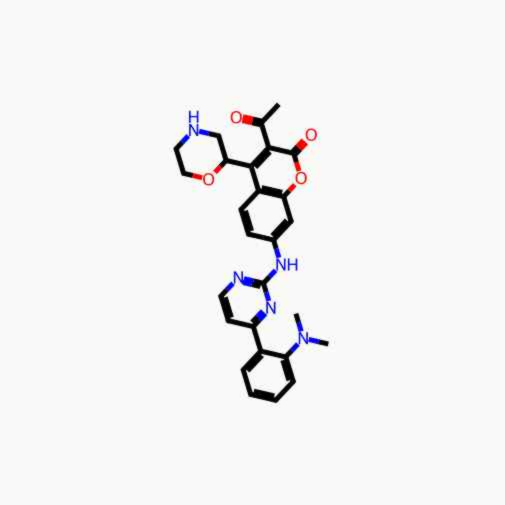 CC(=O)c1c(C2CNCCO2)c2ccc(Nc3nccc(-c4ccccc4N(C)C)n3)cc2oc1=O